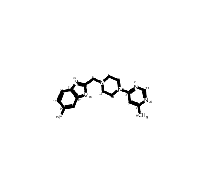 Cc1cc(N2CCN(Cc3nc4ccc(F)cc4o3)CC2)ncn1